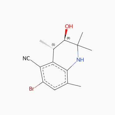 Cc1cc(Br)c(C#N)c2c1NC(C)(C)[C@H](O)[C@H]2C